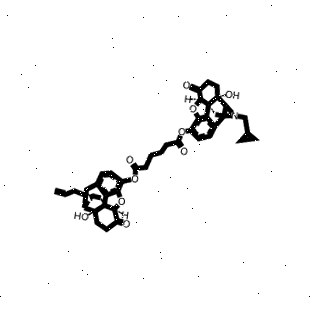 C=CCN1CC[C@]23c4c5ccc(OC(=O)CCCCC(=O)Oc6ccc7c8c6O[C@H]6C(=O)CC[C@@]9(O)C%10N(CC%11CC%11)C7%10C[C@]869)c4O[C@H]2C(=O)CC[C@@]3(O)C1C5